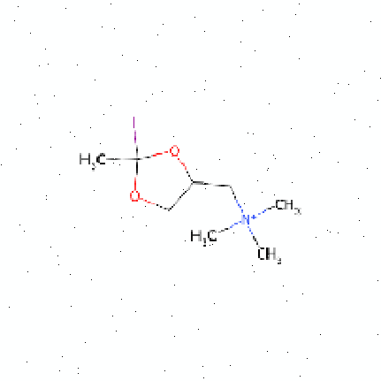 CC1(I)OCC(C[N+](C)(C)C)O1